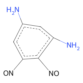 Nc1cc(N)c(N=O)c(N=O)c1